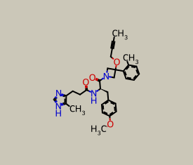 CC#CCOC1(c2ccccc2C)CN(C(=O)[C@@H](Cc2ccc(OC)cc2)NC(=O)CCc2nc[nH]c2C)C1